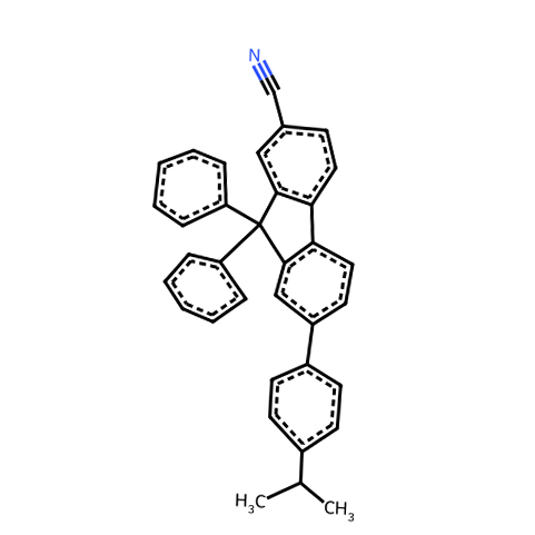 CC(C)c1ccc(-c2ccc3c(c2)C(c2ccccc2)(c2ccccc2)c2cc(C#N)ccc2-3)cc1